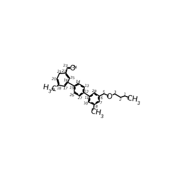 CCCCOCc1cc(C)cc(-c2ccc(C3=CC(C)=CCC(C=O)=C3)cc2)c1